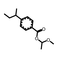 CCC(C)c1ccc(C(=O)OC(C)OC)cc1